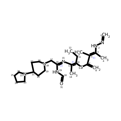 C=NN/C(C)=C(\C)C(=C)S/C(CC)=C(C)/N=C(/CN1CCC(N2CCCC2)CC1)NC=O